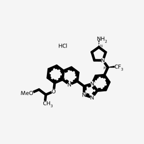 COCC(C)Oc1cccc2ccc(-c3nnc4ccc([C@@H](N5CC[C@H](N)C5)C(F)(F)F)cn34)nc12.Cl